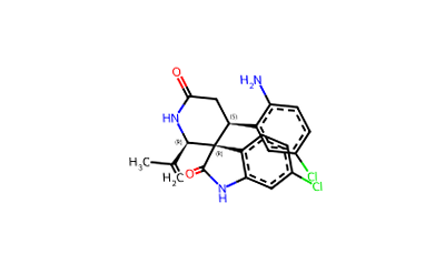 C=C(C)[C@H]1NC(=O)C[C@@H](c2cc(Cl)ccc2N)[C@]12C(=O)Nc1cc(Cl)ccc12